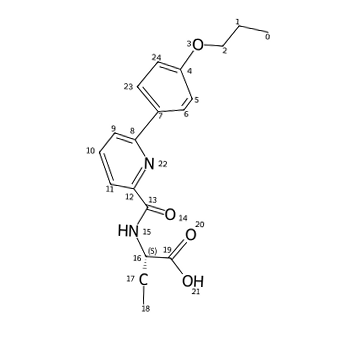 CCCOc1ccc(-c2cccc(C(=O)N[C@@H](CC)C(=O)O)n2)cc1